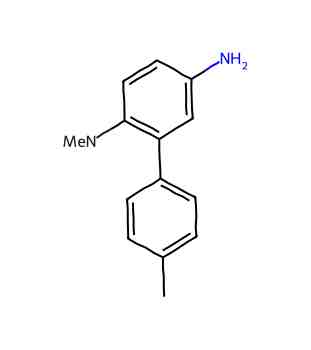 CNc1ccc(N)cc1-c1ccc(C)cc1